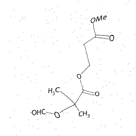 COC(=O)CCOC(=O)C(C)(C)O[C]=O